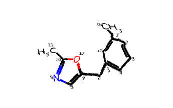 Cc1cccc(Cc2cnc(C)o2)c1